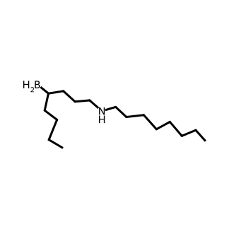 BC(CCCC)CCCNCCCCCCCC